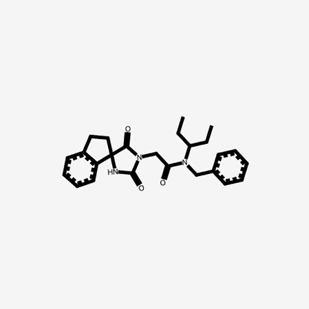 CCC(CC)N(Cc1ccccc1)C(=O)CN1C(=O)NC2(CCc3ccccc32)C1=O